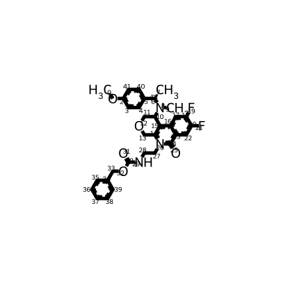 COc1ccc([C@@H](C)N(C)C2COCc3c2c2cc(F)c(F)cc2c(=O)n3CCNC(=O)OCc2ccccc2)cc1